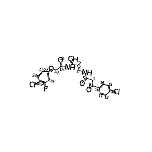 C=C(CCNC(=O)CC(=O)c1ccc(Cl)cc1)NC(=O)COc1ccc(Cl)c(F)c1